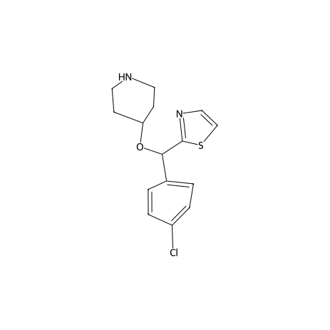 Clc1ccc(C(OC2CCNCC2)c2nccs2)cc1